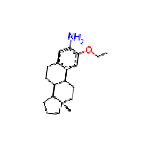 CCOc1cc2c(cc1N)CCC1C2CC[C@]2(C)CCCC12